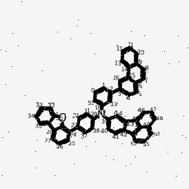 c1cc(-c2ccc3ccc4ccccc4c3c2)cc(N(c2ccc(-c3cccc4c3oc3ccccc34)cc2)c2ccc3c(c2)-c2cccc4cccc-3c24)c1